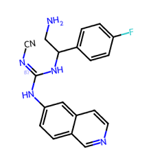 N#C/N=C(/Nc1ccc2cnccc2c1)NC(CN)c1ccc(F)cc1